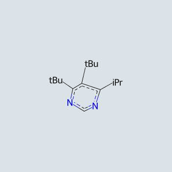 CC(C)c1ncnc(C(C)(C)C)c1C(C)(C)C